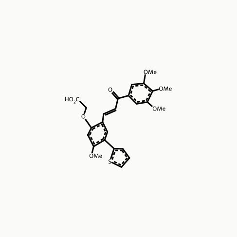 COc1cc(OCC(=O)O)c(C=CC(=O)c2cc(OC)c(OC)c(OC)c2)cc1-c1cccs1